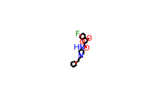 O=C(NC1CCN(CC=Cc2ccccc2)CC1)c1cc(=O)c2ccc(F)cc2o1